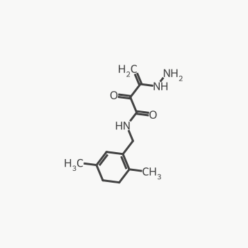 C=C(NN)C(=O)C(=O)NCC1=C(C)CCC(C)=C1